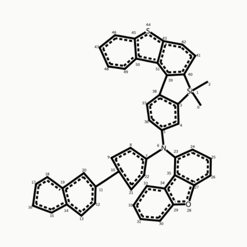 C[Si]1(C)c2cc(N(c3ccc(-c4ccc5ccccc5c4)cc3)c3cccc4oc5ccccc5c34)ccc2-c2c1ccc1sc3ccccc3c21